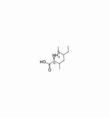 CCC(CC(C)[C@H](N)C(=O)O)SC